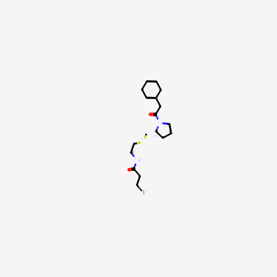 CC(C)CCC(=O)N[C@@H](CSC[C@H]1CCCN1C(=O)CC1CCCCC1)C(=O)O